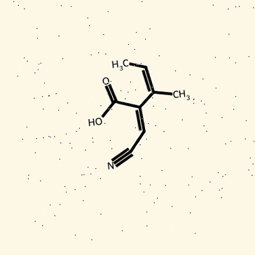 CC=C(C)C(=CC#N)C(=O)O